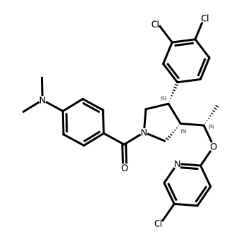 C[C@H](Oc1ccc(Cl)cn1)[C@@H]1CN(C(=O)c2ccc(N(C)C)cc2)C[C@@H]1c1ccc(Cl)c(Cl)c1